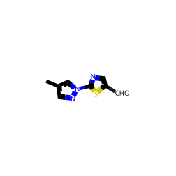 Cc1cnn(-c2ncc(C=O)s2)c1